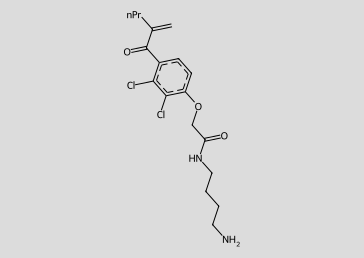 C=C(CCC)C(=O)c1ccc(OCC(=O)NCCCCN)c(Cl)c1Cl